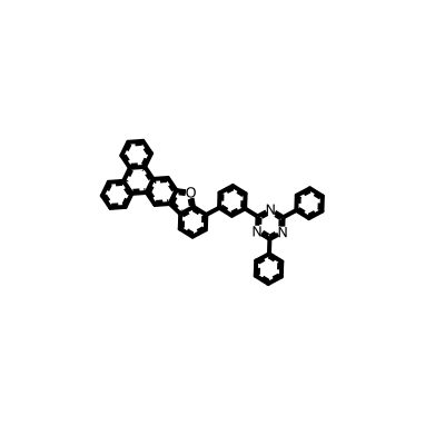 c1ccc(-c2nc(-c3ccccc3)nc(-c3cccc(-c4cccc5c4oc4cc6c7ccccc7c7ccccc7c6cc45)c3)n2)cc1